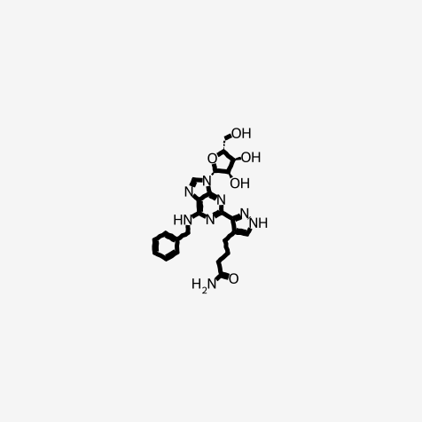 NC(=O)CCCc1c[nH]nc1-c1nc(NCc2ccccc2)c2ncn([C@@H]3O[C@H](CO)[C@@H](O)[C@H]3O)c2n1